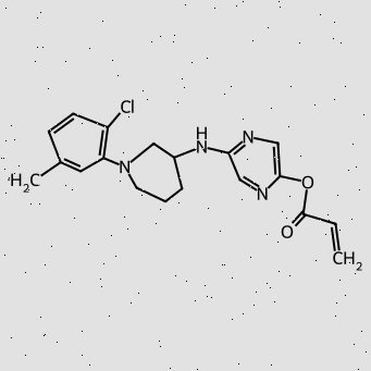 [CH2]c1ccc(Cl)c(N2CCCC(Nc3cnc(OC(=O)C=C)cn3)C2)c1